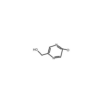 [O]c1cnc(CO)cn1